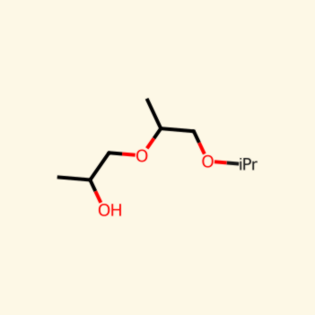 [CH2]C(C)OCC(C)OCC(C)O